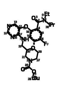 CCN(C(=O)c1cc(F)ccc1Oc1cncnc1NCC1CN(C(=O)OC(C)(C)C)CCO1)C(C)C